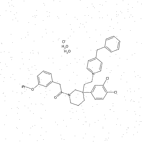 CC(C)Oc1cccc(CC(=O)N2CCCC(CC[n+]3ccc(Cc4ccccc4)cc3)(c3ccc(Cl)c(Cl)c3)C2)c1.O.O.[Cl-]